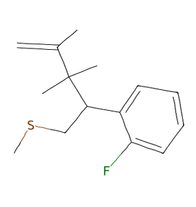 C=C(C)C(C)(C)C(CSC)c1ccccc1F